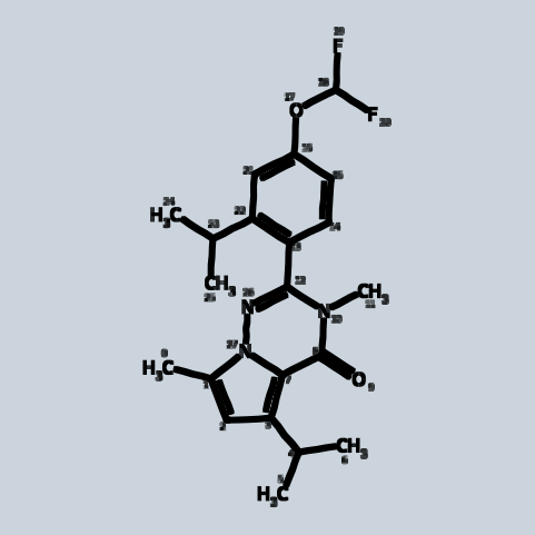 Cc1cc(C(C)C)c2c(=O)n(C)c(-c3ccc(OC(F)F)cc3C(C)C)nn12